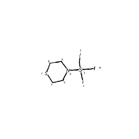 IS(I)(I)N1CCSCC1